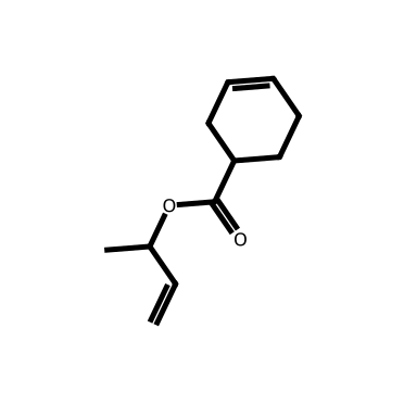 C=CC(C)OC(=O)C1CC=CCC1